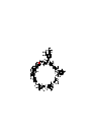 CC[C@H](C)[C@@H]1NC(=O)[C@H](CC(C)C)N(C)C(=O)C[C@@H](C)N(C)C(=O)[C@H](C(C)C)N(C)C(=O)C2(CCCC2)NC(=O)[C@@H]2CCCN2C(=O)[C@H](CCc2ccc(C(F)(F)F)c(Cl)c2)NC(=O)CN(C)C(=O)[C@H](Cc2cccc(C)c2)N(C)C(=O)CN(C)C(=O)CN(C)C1=O